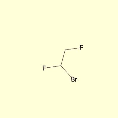 FCC(F)Br